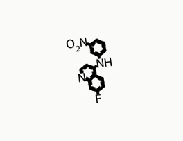 O=[N+]([O-])c1cccc(Nc2ccnc3cc(F)ccc23)c1